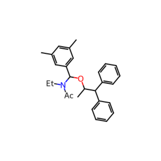 CCN(C(C)=O)C(OC(C)C(c1ccccc1)c1ccccc1)c1cc(C)cc(C)c1